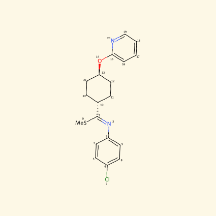 CS/C(=N\c1ccc(Cl)cc1)[C@H]1CC[C@H](Oc2ccccn2)CC1